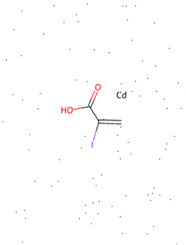 C=C(I)C(=O)O.[Cd]